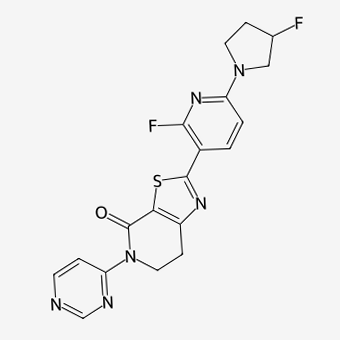 O=C1c2sc(-c3ccc(N4CCC(F)C4)nc3F)nc2CCN1c1ccncn1